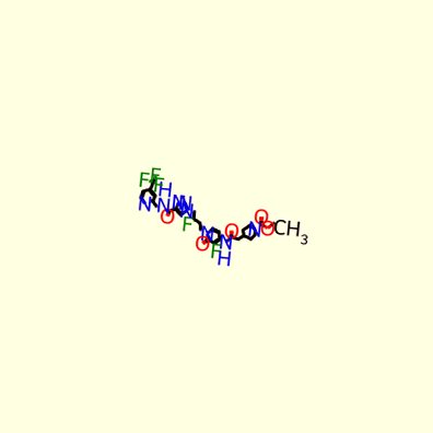 CCOC(=O)N1CCC(CC(=O)Nc2ccn(CCC(F)Cn3cc(C(=O)NCc4cc(C(F)(F)F)ccn4)nn3)c(=O)c2F)CC1